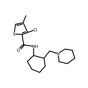 Cc1csc(C(=O)NC2CCCCC2CN2CCCCC2)c1Cl